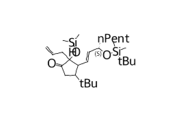 C=CCC1(O[SiH](C)C)C(=O)CC(C(C)(C)C)C1C=C[C@H](CCCCC)O[Si](C)(C)C(C)(C)C